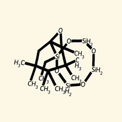 CC[Si]1(C23CC(C)(C)C(C)(C)C(C)(C)C2(C)O3)O[SiH2]O[SiH2]O[SiH2]O1